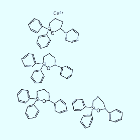 [Ce+4].c1ccc(C2CCC[Si](c3ccccc3)(c3ccccc3)O2)cc1.c1ccc(C2CCC[Si](c3ccccc3)(c3ccccc3)O2)cc1.c1ccc(C2CCC[Si](c3ccccc3)(c3ccccc3)O2)cc1.c1ccc(C2CCC[Si](c3ccccc3)(c3ccccc3)O2)cc1